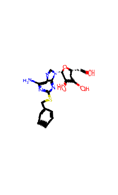 Nc1nc(SCc2ccccc2)nc2c1ncn2[C@@H]1O[C@H](CO)C(O)C1O